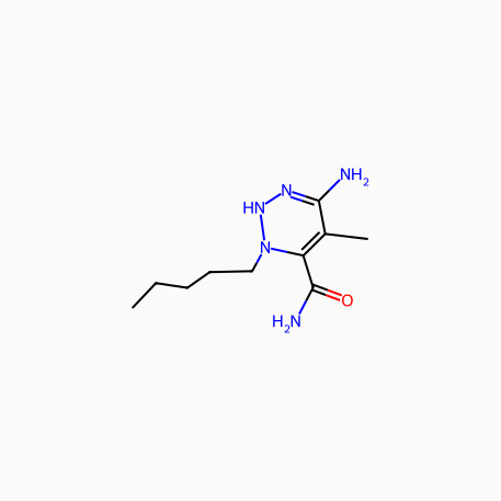 CCCCCN1NN=C(N)C(C)=C1C(N)=O